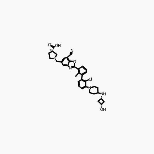 Cc1c(-c2nc3cc(CN4CC[C@@H](C(=O)O)C4)cc(C#N)c3o2)cccc1-c1cccc(N2CCC(N[C@H]3C[C@@H](O)C3)CC2)c1Cl